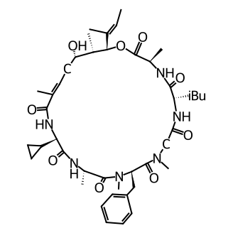 C/C=C(\C)[C@H]1OC(=O)[C@@H](C)NC(=O)[C@H](C(C)CC)NC(=O)CN(C)C(=O)[C@@H](Cc2ccccc2)N(C)C(=O)[C@H](C)NC(=O)[C@@H](C2CC2)NC(=O)/C(C)=C/C[C@H](O)[C@@H]1C